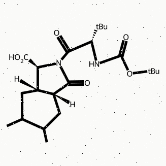 CC1C[C@@H]2[C@@H](C(=O)O)N(C(=O)[C@@H](NC(=O)OC(C)(C)C)C(C)(C)C)C(=O)[C@@H]2CC1C